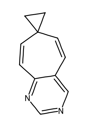 C1=CC2(C=Cc3ncncc31)CC2